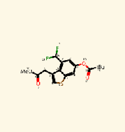 COC(=O)Cc1csc2cc(OC(=O)C(C)(C)C)cc(C(F)F)c12